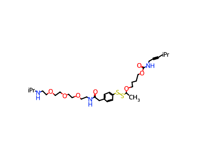 CC(C)C#CCNC(=O)OCCCCOC(C)SSc1ccc(CC(=O)NCCOCCOCCOCCNC(C)C)cc1